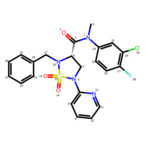 CN(C(=O)[C@@H]1CN(c2ccccn2)S(=O)(=O)N1Cc1ccccc1)c1ccc(F)c(Cl)c1